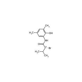 Cc1cc(C)c(O)c(NC(=O)[C@H](Br)C(C)C)c1